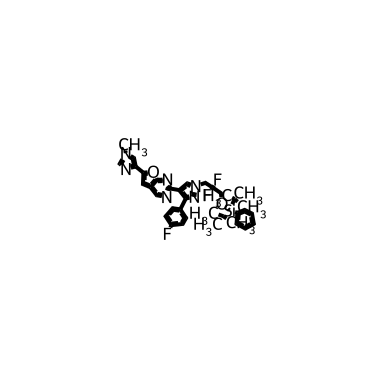 Cn1cnc(-c2cc3cnc(-c4cn(CC(F)(F)CO[Si](c5ccccc5)(C(C)(C)C)C(C)(C)C)nc4-c4ccc(F)cc4)nc3o2)c1